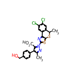 Cc1nn(-c2nc3c(s2)SC(C)c2cc(Cl)c(Cl)cc2-3)c(C(=O)O)c1-c1ccc(CO)cc1